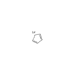 [CH]1C=CC=C1.[Lu]